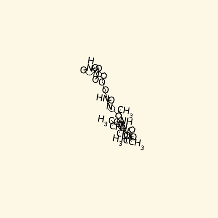 Cc1cc(Nc2ncc(Cl)c(Nc3ccccc3S(=O)(=O)C(C)C)n2)c(OC(C)C)cc1C1CCN(CC(=O)NCCOCCOc2cccc3c2C(=O)N(C2CCC4OC4NC2=O)C3=O)CC1